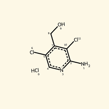 Cl.Nc1ncc(Cl)c(CO)c1Cl